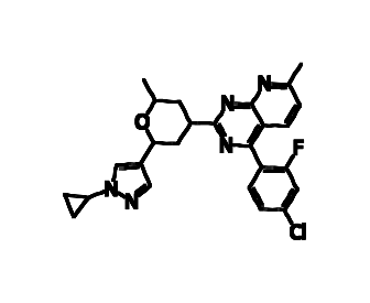 Cc1ccc2c(-c3ccc(Cl)cc3F)nc(C3CC(C)OC(c4cnn(C5CC5)c4)C3)nc2n1